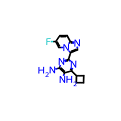 Nc1nc(-c2cnc3ccc(F)cn23)nc(C2CCC2)c1N